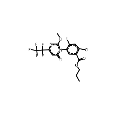 CCCOC(=O)c1cc(-n2c(OC)nc(C(F)(F)C(F)(F)F)cc2=O)c(F)cc1Cl